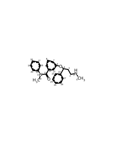 CNCCC(Oc1cccc(C(=O)N(C)c2ccccc2)c1)c1ccccc1